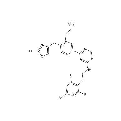 CCCc1cc(-c2cc(NCCc3c(F)cc(Br)cc3F)ncn2)ccc1Cc1noc(O)n1